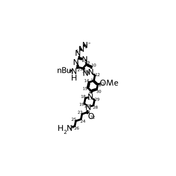 CCCCNc1nc(N=[N+]=[N-])nc2cn(Cc3ccc(N4CCN(C(=O)CCCCN)CC4)cc3OC)nc12